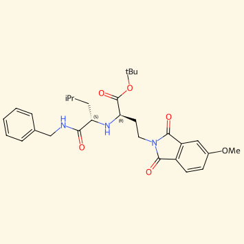 COc1ccc2c(c1)C(=O)N(CC[C@@H](N[C@@H](CC(C)C)C(=O)NCc1ccccc1)C(=O)OC(C)(C)C)C2=O